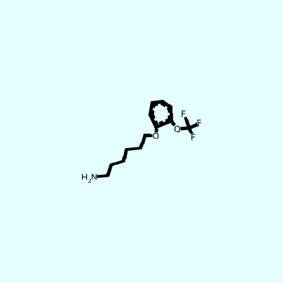 NCCCCCCOc1ccccc1OC(F)(F)F